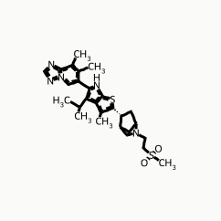 Cc1c(-c2[nH]c3sc([C@@H]4CC5CC4CN5CCS(C)(=O)=O)c(C)c3c2C(C)C)cn2ncnc2c1C